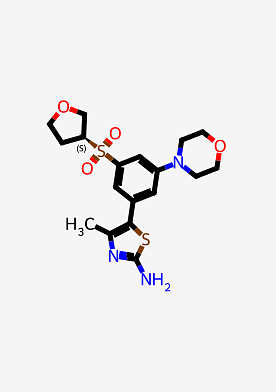 Cc1nc(N)sc1-c1cc(N2CCOCC2)cc(S(=O)(=O)[C@H]2CCOC2)c1